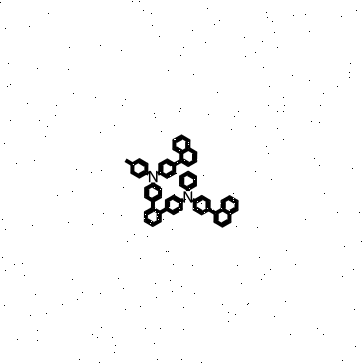 CC1C=CC(N(c2ccc(-c3ccccc3-c3ccc(N(c4ccccc4)c4ccc(-c5cccc6ccccc56)cc4)cc3)cc2)c2ccc(-c3cccc4ccccc34)cc2)=CC1